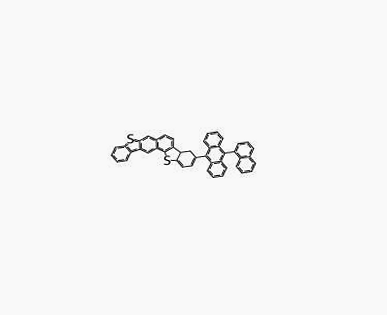 C1=C(c2c3ccccc3c(-c3cccc4ccccc34)c3ccccc23)CC2C(=C1)Sc1c2ccc2cc3sc4ccccc4c3cc12